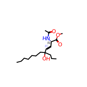 CCCCCCCC(O)(/C=C/[C@H](NC(C)=O)C(=O)OC)CCC